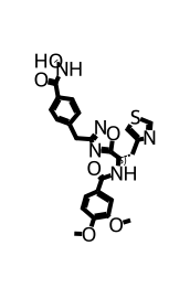 COc1ccc(C(=O)N[C@@H](Cc2cscn2)c2nc(Cc3ccc(C(=O)NO)cc3)no2)cc1OC